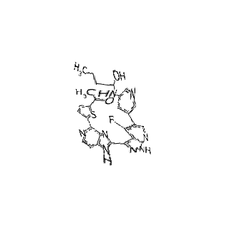 CCCC(O)Nc1cncc(-c2cnc3[nH]nc(-c4nc5c(-c6ccc(C(C)=O)s6)nccc5[nH]4)c3c2F)c1